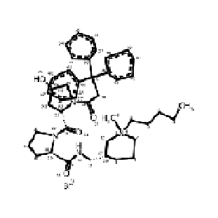 CCCCC[N+]1(C)CCC[C@H](CNC(=O)[C@H]2CCCN2C(=O)[C@@H]2C[C@@H](O)CN2C(=O)CC(c2ccccc2)(c2ccccc2)c2ccccc2)C1.[Br-]